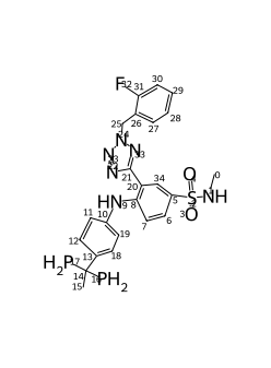 CNS(=O)(=O)c1ccc(Nc2ccc(C(C)(P)P)cc2)c(-c2nnn(Cc3ccccc3F)n2)c1